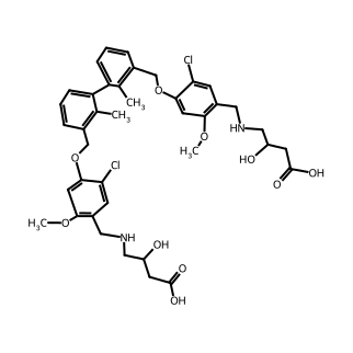 COc1cc(OCc2cccc(-c3cccc(COc4cc(OC)c(CNCC(O)CC(=O)O)cc4Cl)c3C)c2C)c(Cl)cc1CNCC(O)CC(=O)O